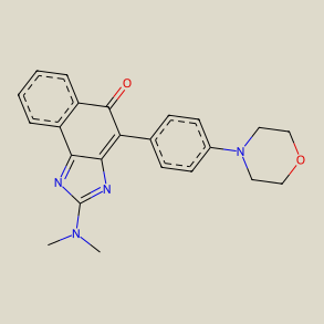 CN(C)C1=NC2=C(c3ccc(N4CCOCC4)cc3)C(=O)c3ccccc3C2=N1